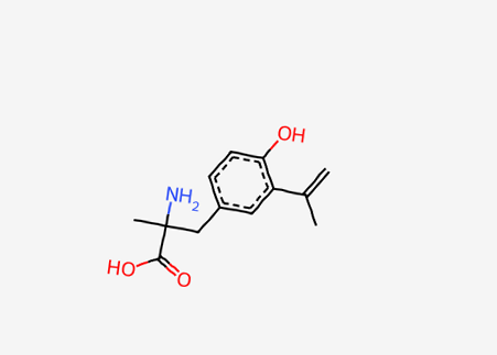 C=C(C)c1cc(CC(C)(N)C(=O)O)ccc1O